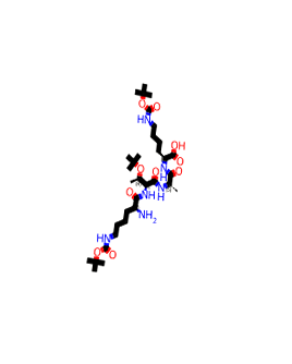 C[C@H](NC(=O)[C@@H](NC(=O)[C@@H](N)CCCCNC(=O)OC(C)(C)C)[C@@H](C)OC(C)(C)C)C(=O)N[C@@H](CCCCNC(=O)OC(C)(C)C)C(=O)O